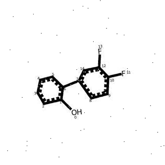 Oc1ccccc1-c1ccc(F)c(F)c1